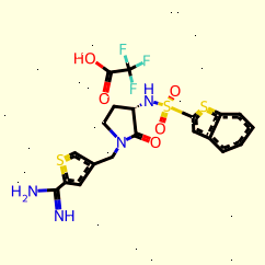 N=C(N)c1cc(CN2CC[C@H](NS(=O)(=O)c3cc4ccccc4s3)C2=O)cs1.O=C(O)C(F)(F)F